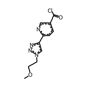 COCCn1cc(-c2ccc(C(=O)Cl)cn2)nn1